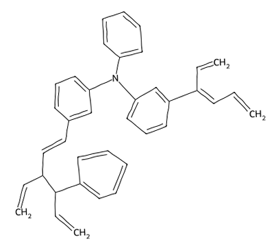 C=C/C=C(\C=C)c1cccc(N(c2ccccc2)c2cccc(/C=C/C(C=C)C(C=C)c3ccccc3)c2)c1